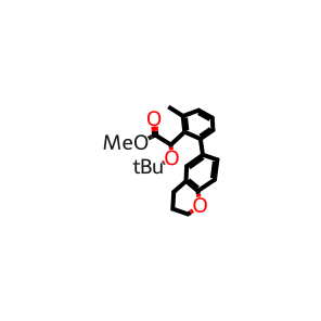 COC(=O)C(OC(C)(C)C)c1c(C)cccc1-c1ccc2c(c1)CCCO2